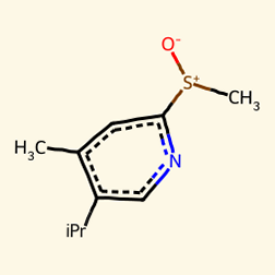 Cc1cc([S+](C)[O-])ncc1C(C)C